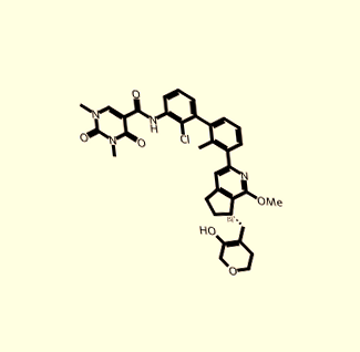 COc1nc(-c2cccc(-c3cccc(NC(=O)c4cn(C)c(=O)n(C)c4=O)c3Cl)c2C)cc2c1[C@H](CC1=C(O)COCC1)CC2